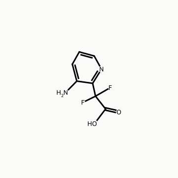 Nc1cccnc1C(F)(F)C(=O)O